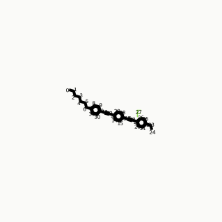 CCCCCCCc1ccc(C#Cc2ccc(C#Cc3ccc(CC)cc3F)cc2)cc1